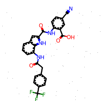 N#Cc1ccc(NC(=O)c2cc3cccc(NC(=O)Cc4ccc(C(F)(F)F)cc4)c3[nH]2)c(C(=O)O)c1